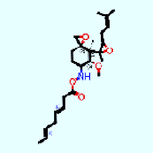 C/C=C/C/C=C/CC(=O)ONC1CC[C@]2(CO2)[C@@](C)(C2(C)OC2CC=C(C)C)[C@@H]1OC